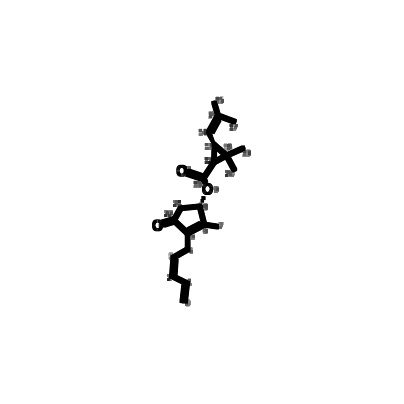 C=C/C=C\CC1=C(C)[C@@H](OC(=O)C2[C@@H](C=C(C)C)C2(C)C)CC1=O